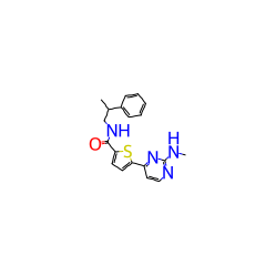 CNc1nccc(-c2ccc(C(=O)NCC(C)c3ccccc3)s2)n1